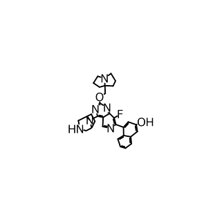 Oc1cc(-c2ncc3c(N4C5CCC4CNC5)nc(OCC45CCCN4CCC5)nc3c2F)c2ccccc2c1